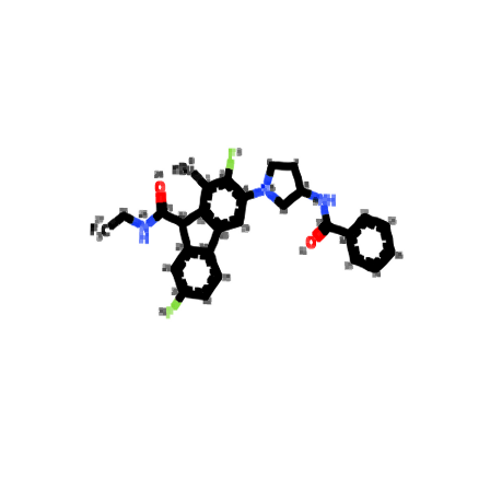 CCCCc1c(F)c(N2CCC(NC(=O)c3ccccc3)C2)cc2c1C(C(=O)NCC(F)(F)F)c1cc(F)ccc1-2